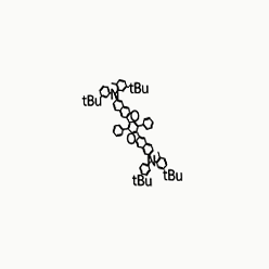 Cc1ccc(C(C)(C)C)cc1N(c1cccc(C(C)(C)C)c1)c1ccc2cc3c(cc2c1)oc1c(-c2ccccc2)c2c(oc4cc5cc(N(c6cccc(C(C)(C)C)c6)c6cc(C(C)(C)C)ccc6C)ccc5cc42)c(-c2ccccc2)c13